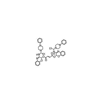 CCC(NC1=Nc2ccccc2OC1OC(=O)/C=C/C(=O)OC1Oc2ccccc2N=C1NC(CC)N1CCN(c2ccccc2)CC1)N1CCN(c2ccccc2)CC1